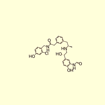 C[C@H](Cc1cccc(CC(=O)NCc2ccc(O)cc2Cl)c1)NC[C@@H](O)c1ccc(O)c(NC=O)c1